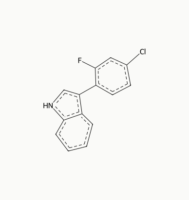 Fc1cc(Cl)ccc1-c1c[nH]c2ccccc12